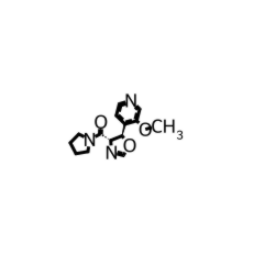 COc1cnccc1[C@H]1OC=N[C@@H]1C(=O)N1CCCC1